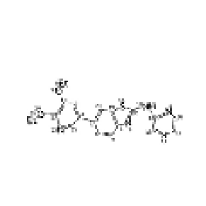 CCOc1cc(-c2ccc3nc(Nc4cnccn4)sc3c2)cnc1OCC